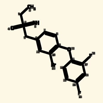 CCS(=N)(=O)Cc1ccc(Oc2ccc(F)cc2F)c(Br)c1